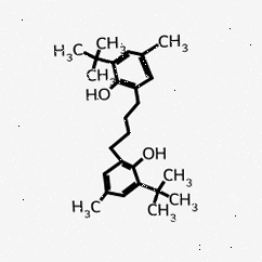 Cc1cc(CCCCc2cc(C)cc(C(C)(C)C)c2O)c(O)c(C(C)(C)C)c1